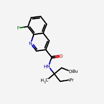 CC(C)COCC(C)(CC(C)C)NC(=O)c1cnc2c(F)cccc2c1